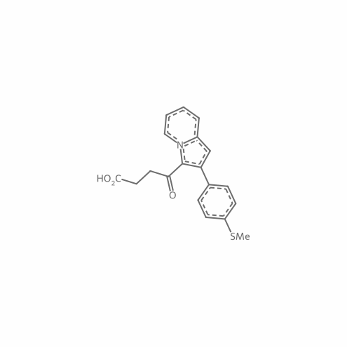 CSc1ccc(-c2cc3ccccn3c2C(=O)CCC(=O)O)cc1